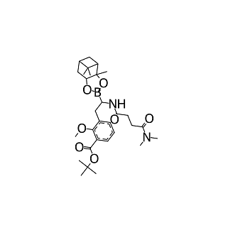 COc1c(CC(NC(=O)CCC(=O)N(C)C)B2OC3CC4CC(C4(C)C)C3(C)O2)cccc1C(=O)OC(C)(C)C